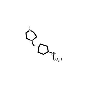 O=C(O)N[C@H]1CC[C@H](CN2CCNCC2)CC1